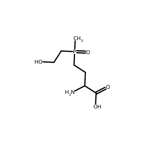 CP(=O)(CCO)CCC(N)C(=O)O